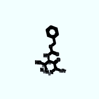 CCCN(N)C(=O)[C@@H](NC(=O)OCc1ccccc1)[C@@H](C)O